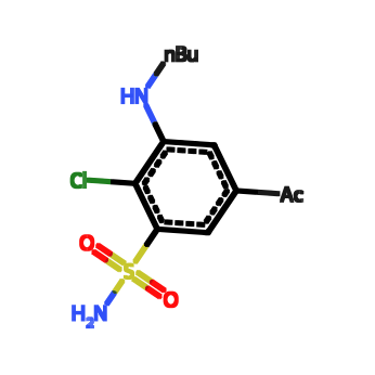 CCCCNc1cc(C(C)=O)cc(S(N)(=O)=O)c1Cl